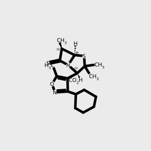 Cc1onc(C2CCCCC2)c1[C@@]1(C(=O)O)N2C(=S)[C@@H](C)[C@H]2SC1(C)C